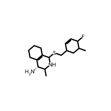 CC1CC(CSC2NC(C)[C@H](N)C3=C2CCCC3)C=CC1F